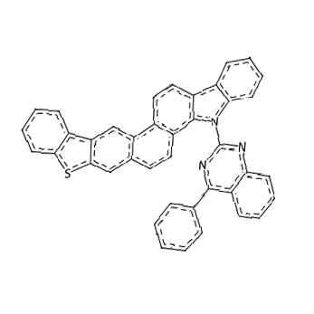 c1ccc(-c2nc(-n3c4ccccc4c4ccc5c6cc7c(cc6ccc5c43)sc3ccccc37)nc3ccccc23)cc1